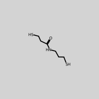 O=C(CCS)NCCCS